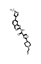 Cn1cc(-c2ccc3cnc(NC(=O)c4coc(C5CCN(CCF)CC5)n4)nc3c2)cn1